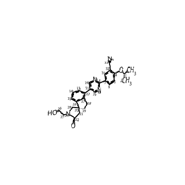 CC(C)Oc1ccc(-c2ncc(-c3cccc4c3CC[C@@]43CC(=O)N(CCO)C3)cn2)cc1C#N